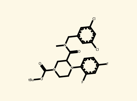 CN(Cc1cc(Cl)cc(Cl)c1)C(=O)C1CN(C(=O)OC(C)(C)C)CCN1c1ccc(F)cc1F